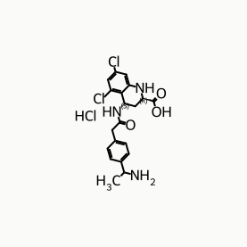 CC(N)c1ccc(CC(=O)N[C@H]2C[C@H](C(=O)O)Nc3cc(Cl)cc(Cl)c32)cc1.Cl